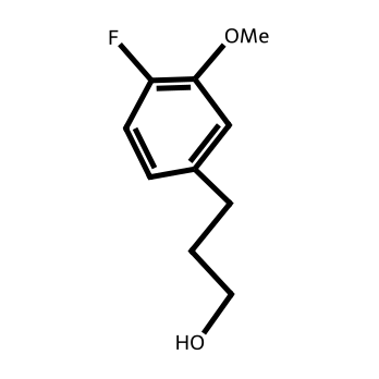 COc1cc(CCCO)ccc1F